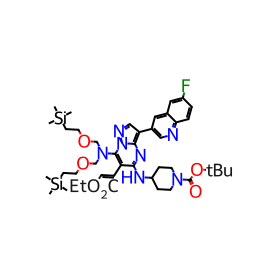 CCOC(=O)C=Cc1c(NC2CCN(C(=O)OC(C)(C)C)CC2)nc2c(-c3cnc4ccc(F)cc4c3)cnn2c1N(COCC[Si](C)(C)C)COCC[Si](C)(C)C